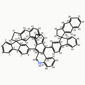 c1ccc2c(c1)-c1ccc(-c3c4ccccc4c(-c4ccc5c(c4)C4(CCc6cc7ccccc7cc64)c4ccccc4-5)c4c3cnc3ccccc34)cc1C21CCc2cc3ccccc3cc21